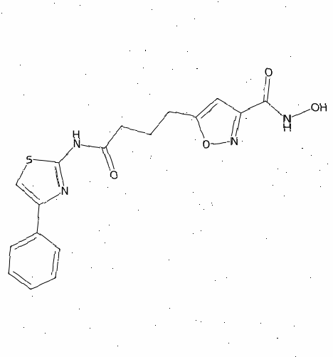 O=C(CCCc1cc(C(=O)NO)no1)Nc1nc(-c2ccccc2)cs1